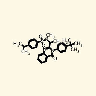 CC(C)c1ccc(S(=O)(=O)N(C)C(C)c2nc3ccccc3c(=O)n2-c2ccc(C(C)(C)C)cc2)cc1